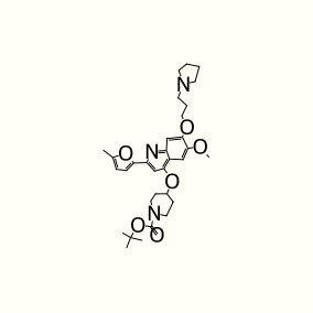 COc1cc2c(OC3CCN(C(=O)OC(C)(C)C)CC3)cc(-c3ccc(C)o3)nc2cc1OCCCN1CCCC1